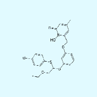 CCOCC(Oc1cccc(OCc2cc(C)cc(=O)n2O)c1)Sc1ccc(Cl)cc1